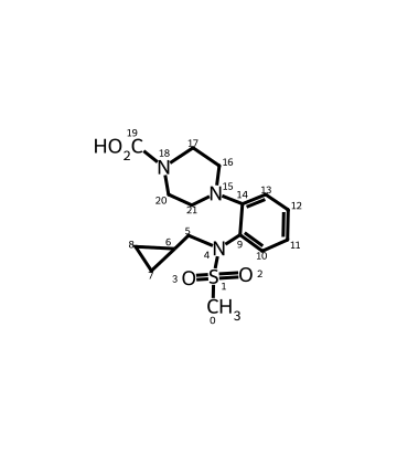 CS(=O)(=O)N(CC1CC1)c1ccccc1N1CCN(C(=O)O)CC1